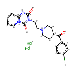 Cl.Cl.O=C(c1ccc(F)cc1)C1CCN(CCn2c(=O)nc3ccccn3c2=O)CC1